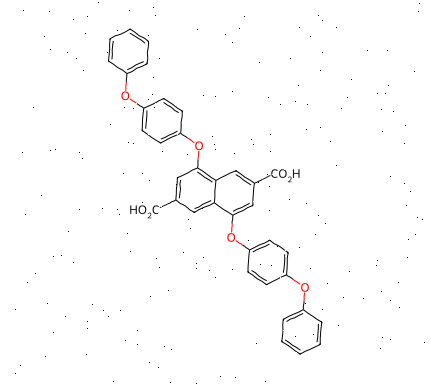 O=C(O)c1cc(Oc2ccc(Oc3ccccc3)cc2)c2cc(C(=O)O)cc(Oc3ccc(Oc4ccccc4)cc3)c2c1